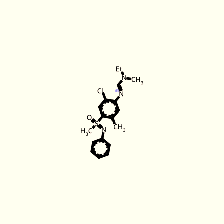 CCN(C)/C=N/c1cc(C)c(S(C)(=O)=Nc2ccccc2)cc1Cl